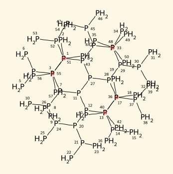 PP(P)P(P(P)P)P(P(P)P)P(P(P(P(P)P)P(P)P)P(P(P)P)P(P)P)P(P(P(P(P)P)P(P)P)P(P(P)P)P(P)P)P(P(P(P)P)P(P)P)P(P(P)P)P(P)P